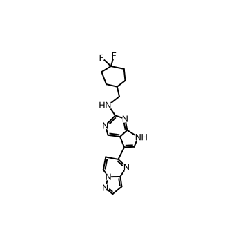 FC1(F)CCC(CNc2ncc3c(-c4ccn5nccc5n4)c[nH]c3n2)CC1